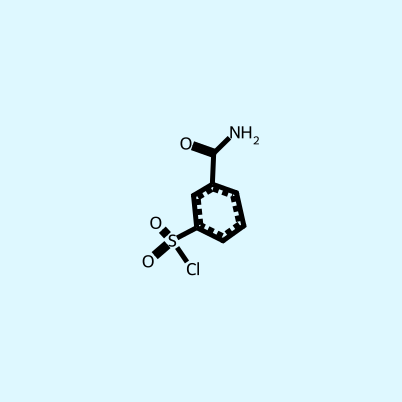 NC(=O)c1cccc(S(=O)(=O)Cl)c1